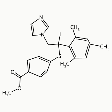 COC(=O)c1ccc(SC(I)(Cn2ccnc2)c2c(C)cc(C)cc2C)cc1